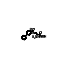 CCC1(C(=O)NC[C@@H](N)C(=O)NO)C=CC(c2ccccc2)=CC1